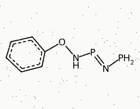 PN=PNOc1ccccc1